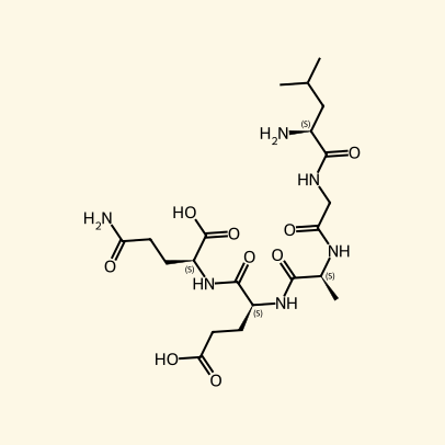 CC(C)C[C@H](N)C(=O)NCC(=O)N[C@@H](C)C(=O)N[C@@H](CCC(=O)O)C(=O)N[C@@H](CCC(N)=O)C(=O)O